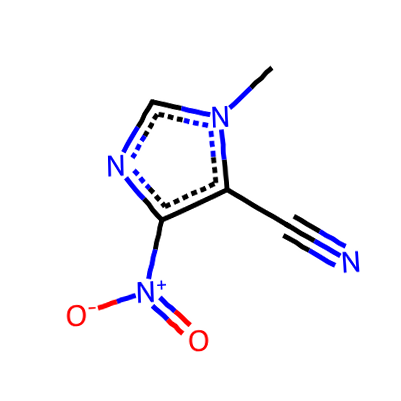 Cn1cnc([N+](=O)[O-])c1C#N